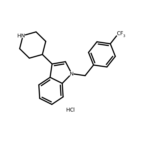 Cl.FC(F)(F)c1ccc(Cn2cc(C3CCNCC3)c3ccccc32)cc1